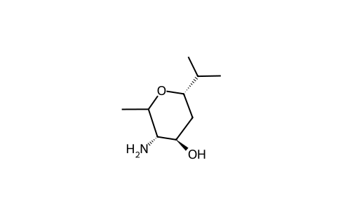 CC(C)[C@@H]1C[C@@H](O)[C@H](N)C(C)O1